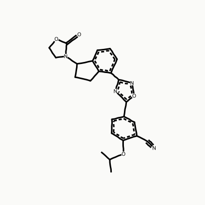 CC(C)Oc1ccc(-c2nc(-c3cccc4c3CCC4N3CCOC3=O)no2)cc1C#N